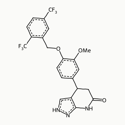 COc1cc(C2CC(=O)Nc3n[nH]cc32)ccc1OCc1cc(C(F)(F)F)ccc1C(F)(F)F